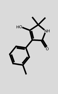 Cc1cccc(C2=C(O)C(C)(C)NC2=O)c1